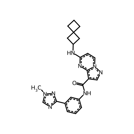 Cn1cnc(-c2cccc(NC(=O)c3cnn4ccc(NC5CC6(CCC6)C5)nc34)c2)n1